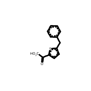 O=C(O)C(=O)c1ccc(Cc2ccccc2)s1